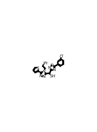 CC(C)CCn1c(-c2cccs2)nnc1C(S)c1noc(-c2cccc(Cl)c2)n1